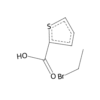 CCBr.O=C(O)c1cccs1